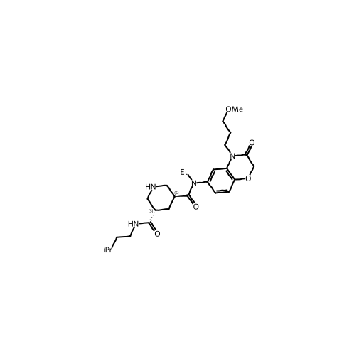 CCN(C(=O)[C@@H]1CNC[C@@H](C(=O)NCCC(C)C)C1)c1ccc2c(c1)N(CCCOC)C(=O)CO2